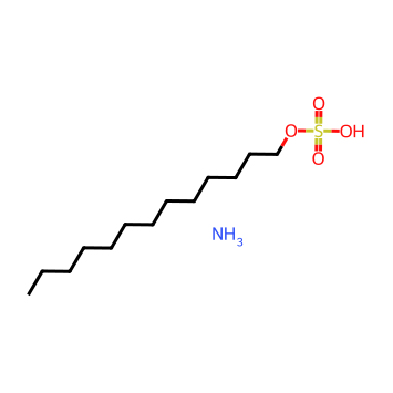 CCCCCCCCCCCCCOS(=O)(=O)O.N